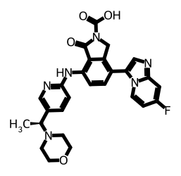 C[C@@H](c1ccc(Nc2ccc(-c3cnc4cc(F)ccn34)c3c2C(=O)N(C(=O)O)C3)nc1)N1CCOCC1